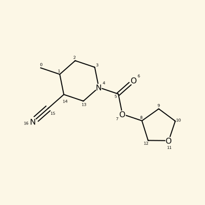 CC1CCN(C(=O)OC2CCOC2)CC1C#N